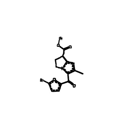 Cc1cc2n(c1C(=O)c1ccc(Br)o1)CCC2C(=O)OC(C)C